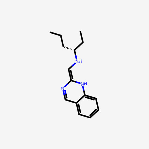 CCC[C@H](CC)N/C=C1/N=Cc2ccccc2N1